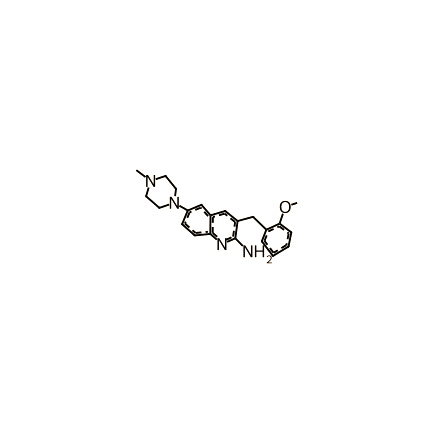 COc1ccccc1Cc1cc2cc(N3CCN(C)CC3)ccc2nc1N